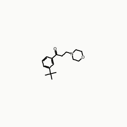 CC(C)(C)c1cccc(C(=O)CCN2CCOCC2)c1